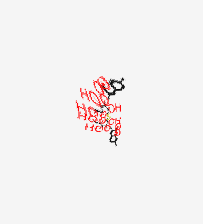 Cc1ccc2cc(COC3[C@@H](O)C(CO)O[C@@H](S[C@@H]4OC(CO)[C@H](O)[C@H](OCc5cc6ccc(C)cc6oc5=O)C4O)[C@@H]3O)c(=O)oc2c1